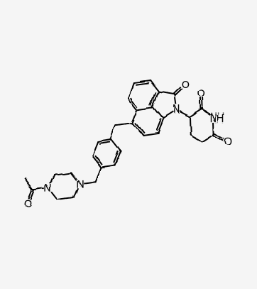 CC(=O)N1CCN(Cc2ccc(Cc3ccc4c5c(cccc35)C(=O)N4C3CCC(=O)NC3=O)cc2)CC1